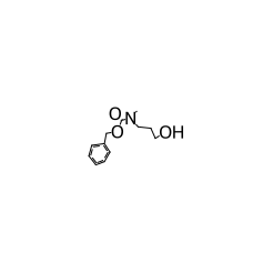 CN(CCCO)C(=O)OCc1ccccc1